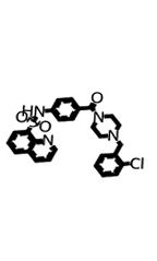 O=C(c1ccc(NS(=O)(=O)c2cccc3cccnc23)cc1)N1CCN(Cc2ccccc2Cl)CC1